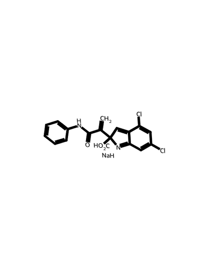 C=C(C(=O)Nc1ccccc1)C1(C(=O)O)C=c2c(Cl)cc(Cl)cc2=N1.[NaH]